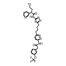 COCCC(C(=O)Nc1nnc(CCCCc2ccc(NC(=O)Cc3cccc(OC(F)(F)F)c3)nn2)s1)c1cccnc1